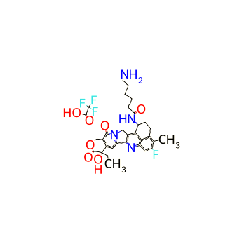 CC[C@@]1(O)C(=O)OCc2c1cc1n(c2=O)Cc2c-1nc1cc(F)c(C)c3c1c2[C@@H](NC(=O)CCCCCN)CC3.O=C(O)C(F)(F)F